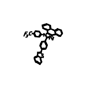 FC(F)(F)c1ccc(-n2c(-c3ccc(-c4cc5ccccc5s4)cc3)nc3c4ccccc4c4ccccc4c32)cc1